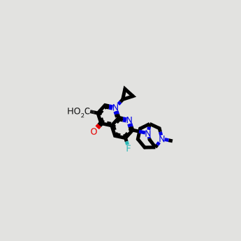 CN1CC2CCCC1CN2c1nc2c(cc1F)c(=O)c(C(=O)O)cn2C1CC1